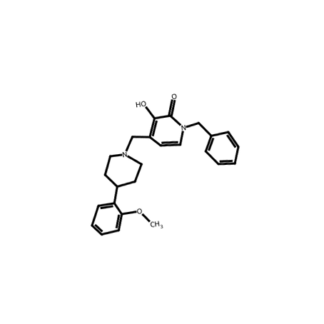 COc1ccccc1C1CCN(Cc2ccn(Cc3ccccc3)c(=O)c2O)CC1